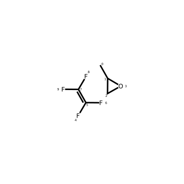 CC1CO1.FC(F)=C(F)F